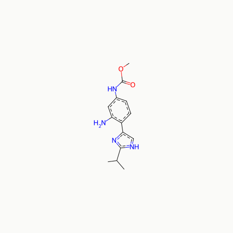 COC(=O)Nc1ccc(-c2c[nH]c(C(C)C)n2)c(N)c1